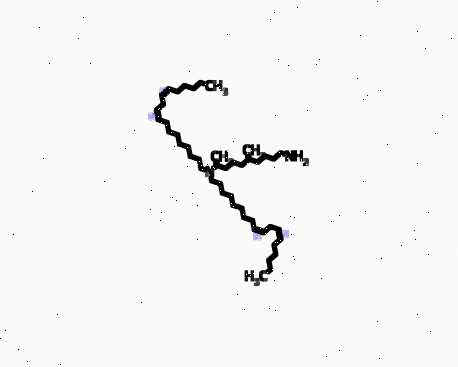 C=C(CCCCN)CCCC(=C)N(CCCCCCCC/C=C\C/C=C\CCCCC)CCCCCCCC/C=C\C/C=C\CCCCC